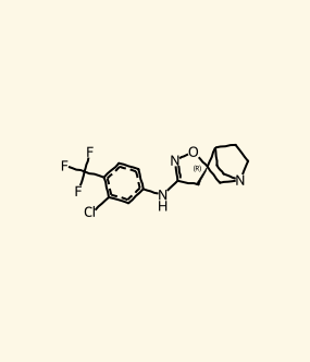 FC(F)(F)c1ccc(NC2=NO[C@@]3(C2)CN2CCC3CC2)cc1Cl